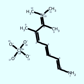 CC(=CC=CC=CN)C(C)=[N+](C)C.[O-][Cl+3]([O-])([O-])[O-]